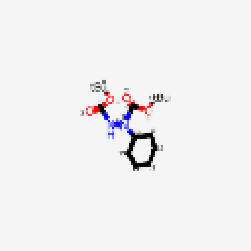 CC(C)(C)OC(=O)NN(C(=O)OC(C)(C)C)C1CCCCC1